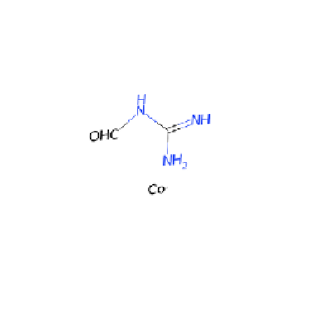 N=C(N)NC=O.[Co]